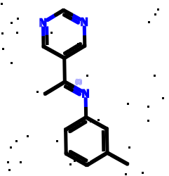 C/C(=N\c1cccc(C)c1)c1cncnc1